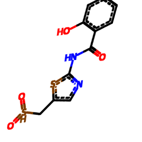 O=C(Nc1ncc(C[SH](=O)=O)s1)c1ccccc1O